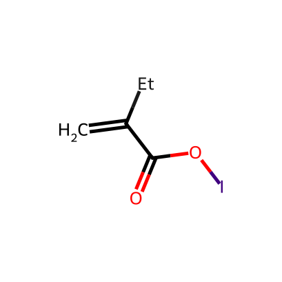 C=C(CC)C(=O)OI